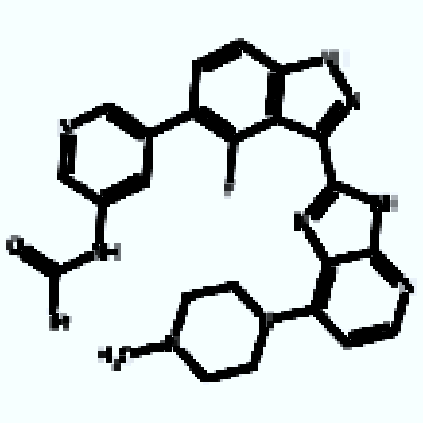 CC(C)C(=O)Nc1cncc(-c2ccc3[nH]nc(-c4nc5c(N6CCN(C)CC6)ccnc5[nH]4)c3c2F)c1